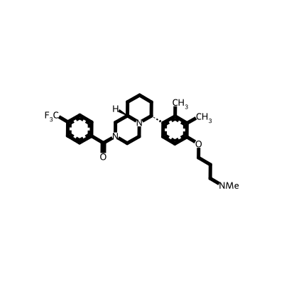 CNCCCOc1ccc([C@H]2CCC[C@H]3CN(C(=O)c4ccc(C(F)(F)F)cc4)CCN32)c(C)c1C